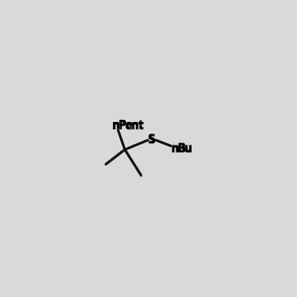 CCCCCC(C)(C)SCCCC